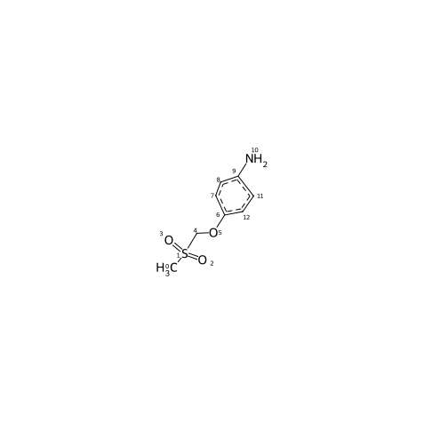 CS(=O)(=O)COc1ccc(N)cc1